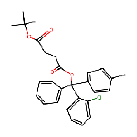 Cc1ccc(C(OC(=O)CCC(=O)OC(C)(C)C)(c2ccccc2)c2ccccc2Cl)cc1